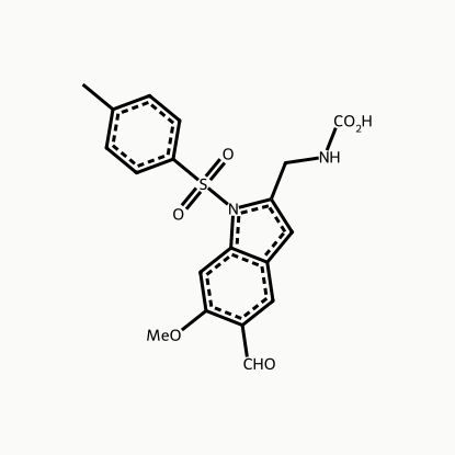 COc1cc2c(cc1C=O)cc(CNC(=O)O)n2S(=O)(=O)c1ccc(C)cc1